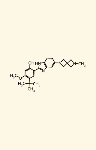 COc1cc(O)c(-c2nc3cc(N4CC5(CN(C)C5)C4)ccc3[nH]2)cc1C(C)(C)C